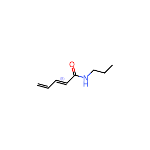 C=C/C=C/C(=O)NCCC